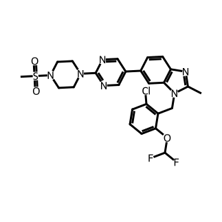 Cc1nc2ccc(-c3cnc(N4CCN(S(C)(=O)=O)CC4)nc3)cc2n1Cc1c(Cl)cccc1OC(F)F